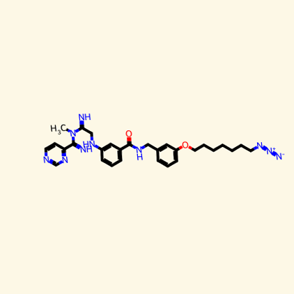 CN(C(=N)CNc1cccc(C(=O)NCc2cccc(OCCCCCCCN=[N+]=[N-])c2)c1)C(=N)c1ccncn1